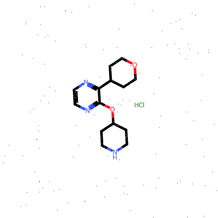 Cl.c1cnc(C2CCOCC2)c(OC2CCNCC2)n1